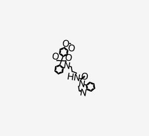 O=C(NCCCN1C(=O)C2(COc3cc4c(cc32)OCO4)c2ccccc21)N1CC=Nc2ccccc21